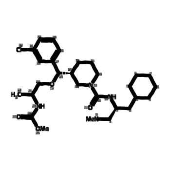 CNC[C@H](CC1CCCCC1)NC(=O)N1CCC[C@@H](C(OCC(C)NC(=O)OC)c2cccc(Cl)c2)C1